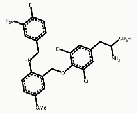 COc1ccc(NCc2ccc(F)c(C(F)(F)F)c2)c(COc2c(Cl)cc(CC(N)C(=O)O)cc2Cl)c1